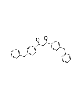 O=C(CC(=O)c1ccc(Cc2ccccc2)cc1)c1ccc(Cc2ccccc2)cc1